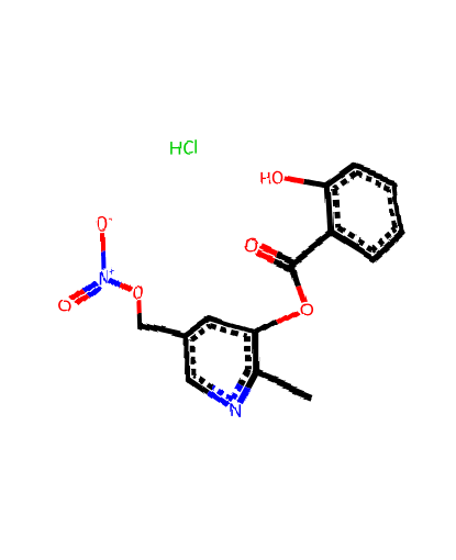 Cc1ncc(CO[N+](=O)[O-])cc1OC(=O)c1ccccc1O.Cl